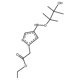 CCOC(=O)Cn1cc(BOC(C)(C)C(C)(C)O)cn1